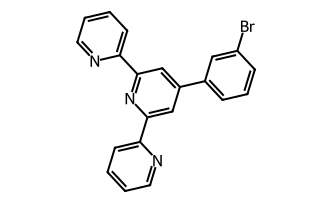 Brc1cccc(-c2cc(-c3ccccn3)nc(-c3ccccn3)c2)c1